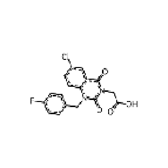 O=C(O)Cn1c(=O)c2cc(Cl)ccc2n(Cc2ccc(F)cc2)c1=O